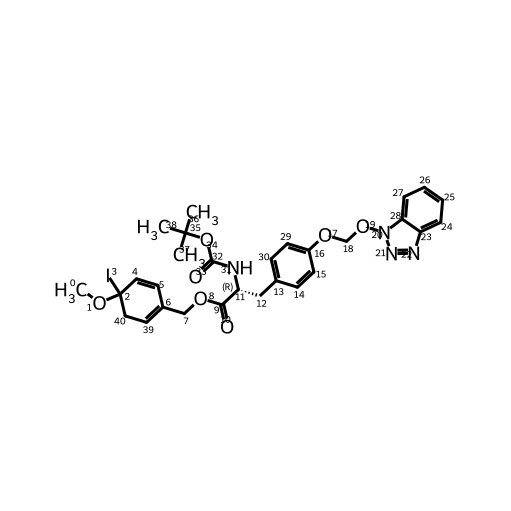 COC1(I)C=CC(COC(=O)[C@@H](Cc2ccc(OCOn3nnc4ccccc43)cc2)NC(=O)OC(C)(C)C)=CC1